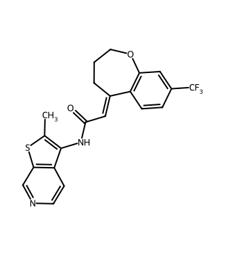 Cc1sc2cnccc2c1NC(=O)C=C1CCCOc2cc(C(F)(F)F)ccc21